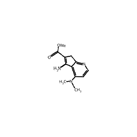 COC(=O)C1=C(N)c2c(N(C)C)ccnc2C1